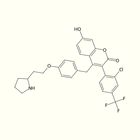 O=c1oc2cc(O)ccc2c(Cc2ccc(OCCC3CCCN3)cc2)c1-c1ccc(C(F)(F)F)cc1Cl